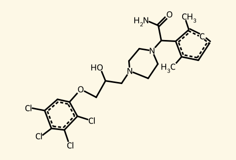 Cc1cccc(C)c1C(C(N)=O)N1CCN(CC(O)COc2cc(Cl)c(Cl)c(Cl)c2Cl)CC1